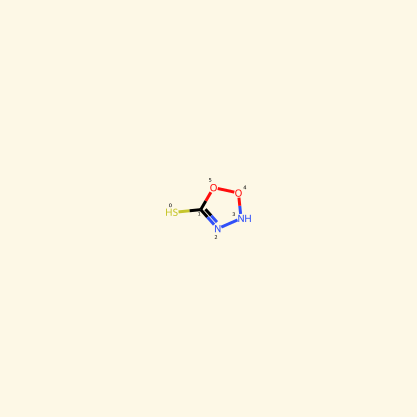 SC1=NNOO1